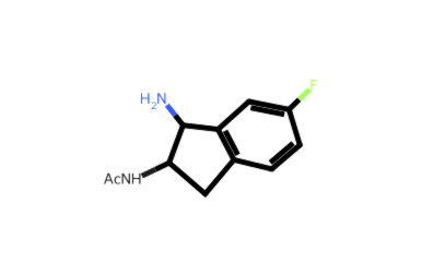 CC(=O)NC1Cc2ccc(F)cc2C1N